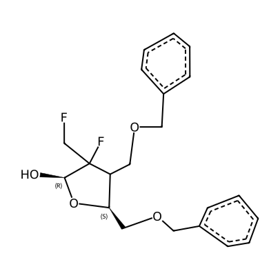 O[C@@H]1O[C@H](COCc2ccccc2)C(COCc2ccccc2)C1(F)CF